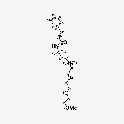 COCCOCCOCC[N+](C)(C)CCC(C)(C)NC(=O)OCc1ccccc1